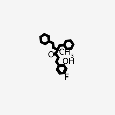 C[C@](CCC1CCCCC1)(CC1CCCCC1)C(=O)CCc1ccc(F)cc1O